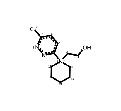 OCC[N+]1(c2ccc(Cl)nn2)CCCCC1